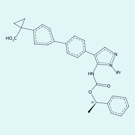 CC(C)n1ncc(-c2ccc(-c3ccc(C4(C(=O)O)CC4)cc3)cc2)c1NC(=O)O[C@H](C)c1ccccc1